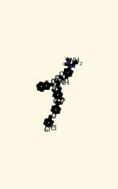 C=C/C=C(\C(C)=C(\C)N)c1ccc(C[C@H](NC(=O)C2Cc3cc4c(cc3CN2C(=O)C2Cc3ccccc3C2)OC(c2ccc(OCc3ccc(Cl)c(Cl)c3)cc2)CO4)C(=O)O)cc1